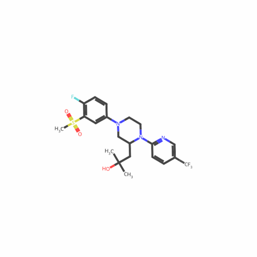 CC(C)(O)CC1CN(c2ccc(F)c(S(C)(=O)=O)c2)CCN1c1ccc(C(F)(F)F)cn1